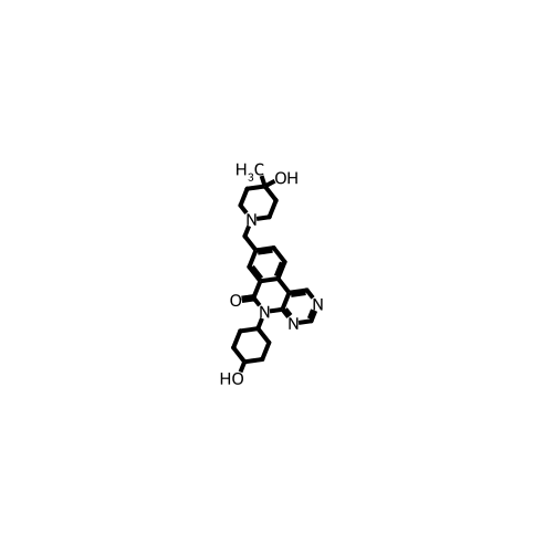 CC1(O)CCN(Cc2ccc3c(c2)c(=O)n(C2CCC(O)CC2)c2ncncc32)CC1